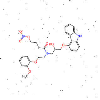 COc1ccccc1OCCN(CC(O)COc1cccc2[nH]c3ccccc3c12)C(=O)CCCO[N+](=O)[O-]